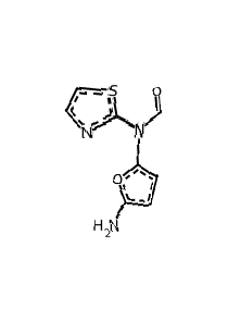 Nc1ccc(N(C=O)c2nccs2)o1